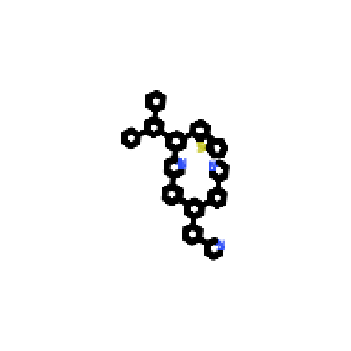 c1ccc(-c2cc(-c3ccccc3)cc(-c3cc(-c4ccc(-c5cccc(-c6cc(-c7cccc(-c8cccnc8)c7)cc(-c7cccc(-c8cccnc8)c7)c6)c5)cn4)cc(-c4cccc5c4sc4ccccc45)c3)c2)cc1